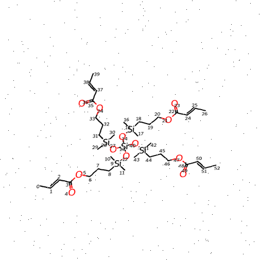 CC=CC(=O)OCCC[Si](C)(C)O[Si](O[Si](C)(C)CCCOC(=O)C=CC)(O[Si](C)(C)CCCOC(=O)C=CC)O[Si](C)(C)CCCOC(=O)C=CC